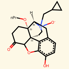 CCCO[C@@]12CCC(=O)C3Oc4c(O)ccc5c4[C@@]31CC[N+]([O-])(CC1CC1)[C@@H]2C5